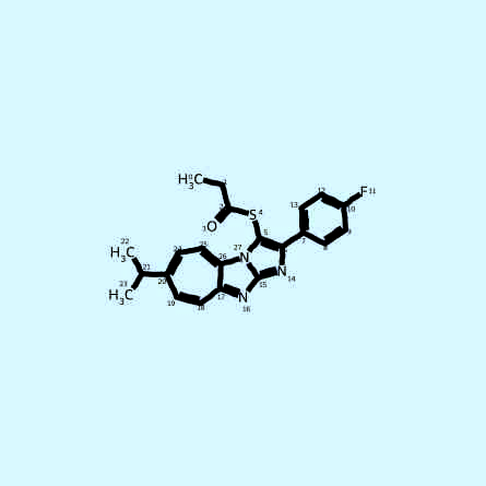 CCC(=O)Sc1c(-c2ccc(F)cc2)nc2nc3ccc(C(C)C)ccc3n12